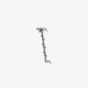 CSCCOCCOCCOCCOCCOCCOCCOP(C)(=O)O